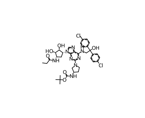 CCC(=O)N[C@H]1C[C@@H](n2cnc3c(NCC(O)(c4ccc(Cl)cc4)c4ccc(Cl)cc4)nc(N4CC[C@@H](NC(=O)OC(C)(C)C)C4)nc32)[C@H](O)[C@@H]1O